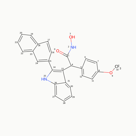 O=C(NO)C(c1ccc(OC(F)(F)F)cc1)c1c(-c2ccc3ccccc3c2)[nH]c2ccccc12